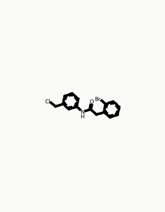 O=C(Cc1ccccc1Br)Nc1cccc(CCl)c1